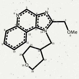 COCc1nc2cnc3ccccc3c2n1CC1CCOCC1